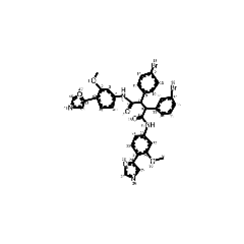 COc1cc(NC(=O)C(c2ccc(Br)cc2)C(C(=O)Nc2ccc(-c3cnco3)c(OC)c2)c2cccc(Br)c2)ccc1-c1cnco1